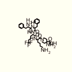 NCCCCC(NC(=O)C(CCCC(F)(F)F)NC(=O)C(Cc1ccccc1)NC(=O)C(N)Cc1ccccc1)C(=O)N1CCC(N)(C(=O)O)CC1